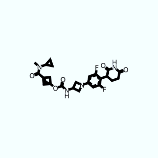 CN(C(=O)C12CC(OC(=O)NC3CN(c4cc(F)c(C5CCC(=O)NC5=O)c(F)c4)C3)(C1)C2)C1CC1